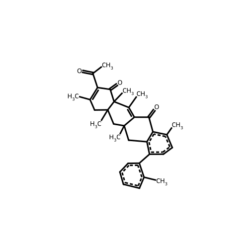 CC(=O)C1=C(C)CC2(C)CC3(C)Cc4c(-c5ccccc5C)ccc(C)c4C(=O)C3=C(C)C2(C)C1=O